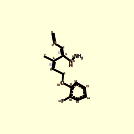 C=N/C=C(NN)\C(C)=C/COc1ccccc1F